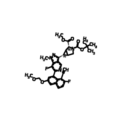 C#Cc1c(F)ccc2cc(OCOC)cc(-c3ncc4c([C@H]5C6CN(C(=O)OC(C)(C)C)[C@@H](C(=O)OC)C65)nn(C)c4c3F)c12